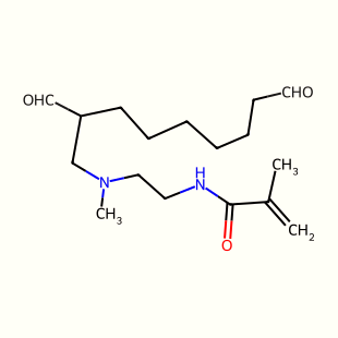 C=C(C)C(=O)NCCN(C)CC(C=O)CCCCCCC=O